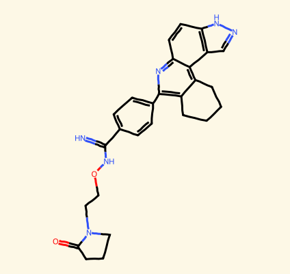 N=C(NOCCN1CCCC1=O)c1ccc(-c2nc3ccc4[nH]ncc4c3c3c2CCCC3)cc1